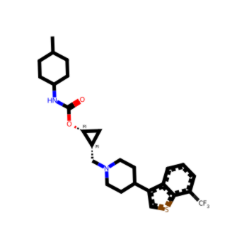 CC1CCC(NC(=O)O[C@@H]2C[C@@H]2CN2CCC(c3csc4c(C(F)(F)F)cccc34)CC2)CC1